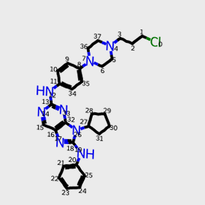 ClCCCN1CCN(c2ccc(Nc3ncc4nc(Nc5ccccc5)n(C5CCCC5)c4n3)cc2)CC1